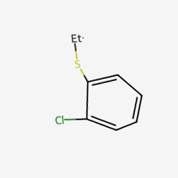 C[CH]Sc1ccccc1Cl